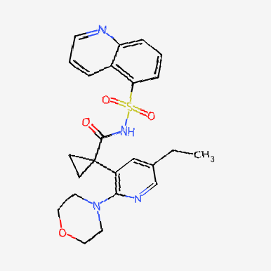 CCc1cnc(N2CCOCC2)c(C2(C(=O)NS(=O)(=O)c3cccc4ncccc34)CC2)c1